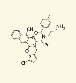 Cc1ccc(C(=O)N(CCCN)C(c2nc3c(C#N)c4ccccc4cc3c(=O)n2Cc2ccc(Cl)s2)C(C)C)cc1